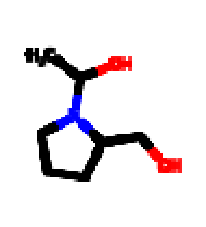 [CH2]C(O)N1CCCC1CO